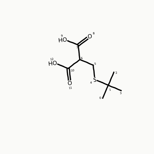 CC(C)(C)SCC(C(=O)O)C(=O)O